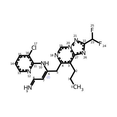 CCCc1c(C/C(=C/C=N)Nc2ncccc2Cl)ncn2nc(C(F)F)nc12